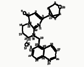 O=c1cc(N2CC3CC2CO3)nc2n1CC[C@@H](C(F)(F)F)N2Cc1cccc2ncccc12